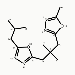 Cc1nnc(CC(C)(C)Cc2nnc(CC(C)C)o2)o1